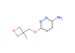 CC1(COc2ccc(N)nn2)COC1